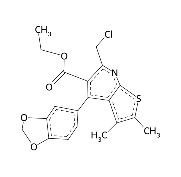 CCOC(=O)c1c(CCl)nc2sc(C)c(C)c2c1-c1ccc2c(c1)OCO2